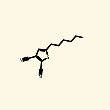 CCCCCCc1cc(C#N)c(C#N)s1